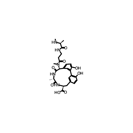 CN[C@@H](C)C(=O)NCCC(=O)N(C)[C@@H]1C(=O)N[C@@H](C)C(=O)N[C@H](C(=O)O)Cc2ccc(O)c(c2)-c2cc1ccc2O